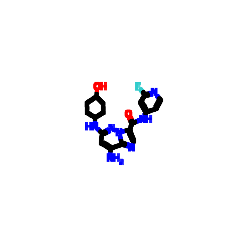 Nc1cc(NC2CCC(O)CC2)nn2c(C(=O)Nc3ccnc(F)c3)cnc12